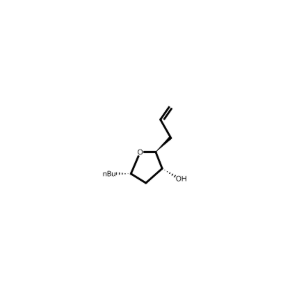 C=CC[C@@H]1O[C@@H](CCCC)C[C@H]1O